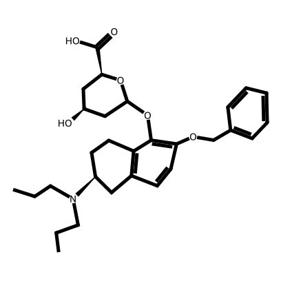 CCCN(CCC)[C@H]1CCc2c(ccc(OCc3ccccc3)c2OC2C[C@@H](O)C[C@@H](C(=O)O)O2)C1